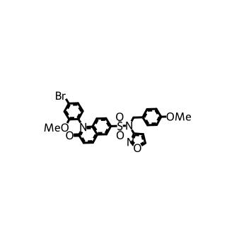 COc1ccc(CN(c2ccon2)S(=O)(=O)c2ccc3c(ccc(=O)n3-c3ccc(Br)cc3OC)c2)cc1